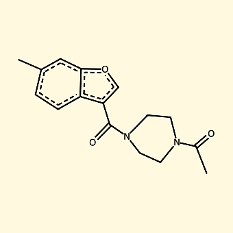 CC(=O)N1CCN(C(=O)c2coc3cc(C)ccc23)CC1